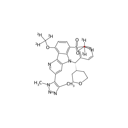 [2H]C([2H])([2H])Oc1ccc(S(=O)(=O)C([2H])([2H])[2H])c2c1c1ncc(-c3c(C)nnn3C)cc1n2[C@H](c1ccccc1)C1CCOCC1